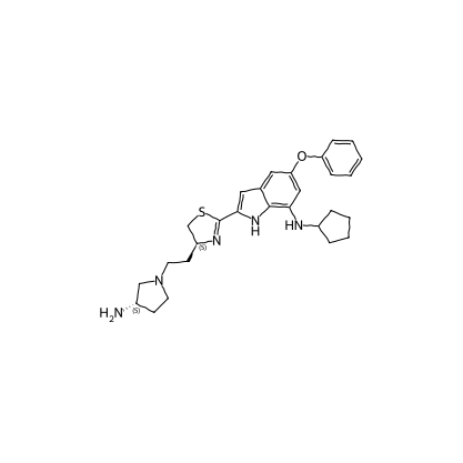 N[C@H]1CCN(CC[C@H]2CSC(c3cc4cc(Oc5ccccc5)cc(NC5CCCC5)c4[nH]3)=N2)C1